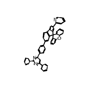 c1ccc(-c2cc(-c3ccc(-c4ccc5c(c4)C4(c6ccccc6Oc6ccccc64)c4cc(-c6ccccn6)ccc4-5)cc3)nc(-c3ccccc3)n2)cc1